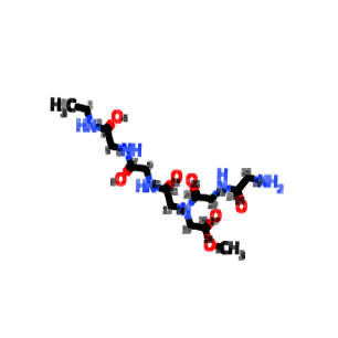 CCNC(=O)CNC(=O)CNC(=O)CN(CC(=O)OC)C(=O)CNC(=O)CN